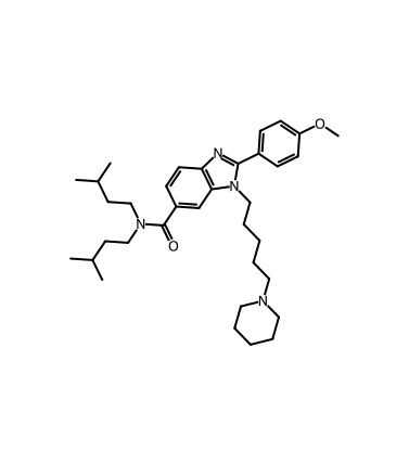 COc1ccc(-c2nc3ccc(C(=O)N(CCC(C)C)CCC(C)C)cc3n2CCCCCN2CCCCC2)cc1